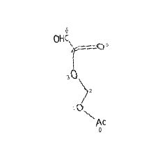 CC(=O)OCOC(=O)C=O